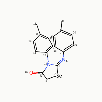 Cc1ccc(/N=C2/[Se]CC(=O)N2c2ccc(C)cc2)cc1